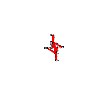 O=S(O)Oc1cc(Nc2nc(NCCCOCCOCCO)nc(NCCCOCCOCCO)n2)ccc1/C=C/c1ccc(Nc2nc(NCCCOCCOCCO)nc(NCCCOCCOCCO)n2)cc1OS(=O)O